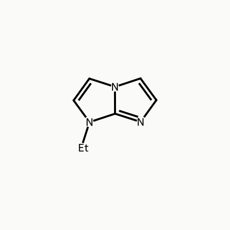 CCn1ccn2ccnc12